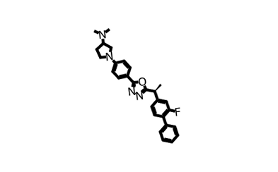 C[C@@H](c1ccc(-c2ccccc2)c(F)c1)c1nnc(-c2ccc(N3CCC(N(C)C)C3)cc2)o1